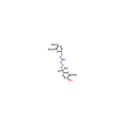 [C-]#[N+]C(CCCNCCc1ccc(OC)c(OC)c1)(c1ccc(O)c(OC)c1)C(C)C